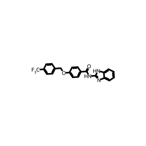 O=C(Nc1nc2ccccc2[nH]1)c1ccc(OCc2ccc(C(F)(F)F)cc2)cc1